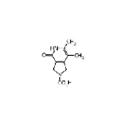 Cc1[nH]c(=O)c2c(c1C)CN(C(=O)O)C2